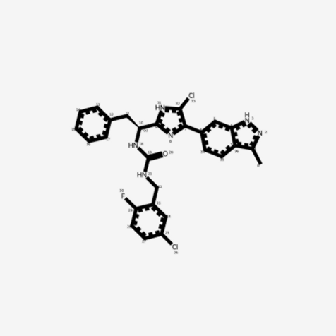 Cc1n[nH]c2cc(-c3nc([C@H](Cc4ccccc4)NC(=O)NCc4cc(Cl)ccc4F)[nH]c3Cl)ccc12